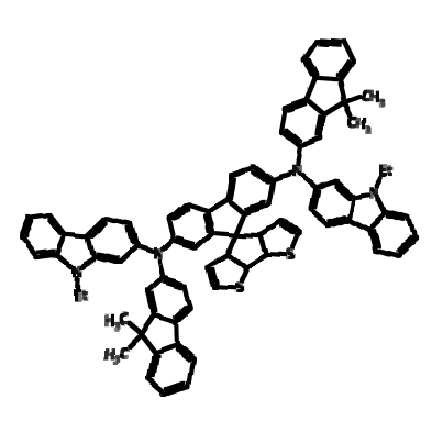 CCn1c2ccccc2c2ccc(N(c3ccc4c(c3)C(C)(C)c3ccccc3-4)c3ccc4c(c3)C3(c5cc(N(c6ccc7c(c6)C(C)(C)c6ccccc6-7)c6ccc7c8ccccc8n(CC)c7c6)ccc5-4)C4C=CSC4C4SC=CC43)cc21